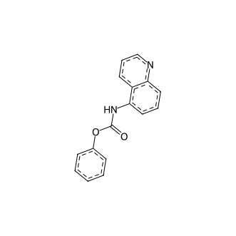 O=C(Nc1cccc2ncccc12)Oc1ccccc1